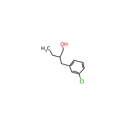 CCC(CO)Cc1cccc(Cl)c1